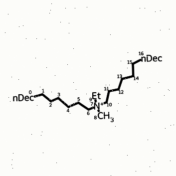 CCCCCCCCCCCCCCCC[N+](C)(CC)CCCCCCCCCCCCCCCC